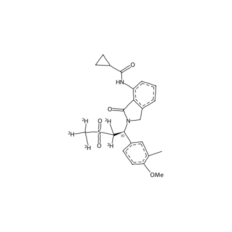 [2H]C([2H])([2H])S(=O)(=O)C([2H])([2H])[C@H](c1ccc(OC)c(C)c1)N1Cc2cccc(NC(=O)C3CC3)c2C1=O